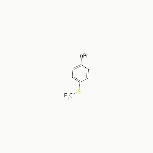 CCCc1ccc(SC(F)(F)F)cc1